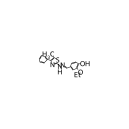 CCOc1cc(C=NNc2nc(-c3ccccc3)c(C)s2)ccc1O